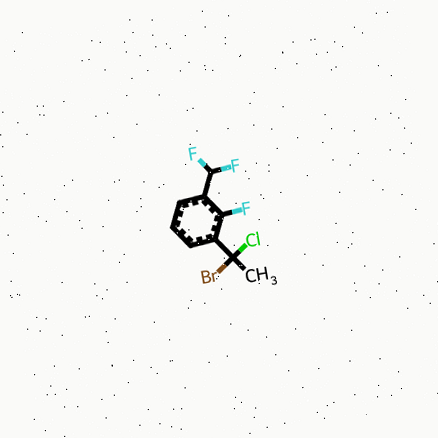 CC(Cl)(Br)c1cccc(C(F)F)c1F